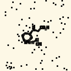 CCCCCCl.Cl.O=C(O)CNc1ccccc1